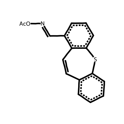 CC(=O)ON=Cc1cccc2c1C=Cc1ccccc1S2